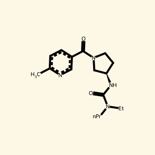 CCCN(CC)C(=O)N[C@@H]1CCN(C(=O)c2ccc(C)nc2)C1